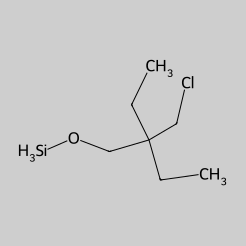 CCC(CC)(CCl)CO[SiH3]